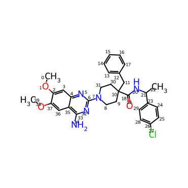 COc1cc2nc(N3CCC(Cc4ccccc4)(C(=O)NC(C)c4ccc(Cl)cc4)CC3)nc(N)c2cc1OC